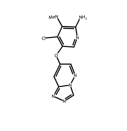 CNc1c(N)ncc(Oc2cnn3cnnc3c2)c1Cl